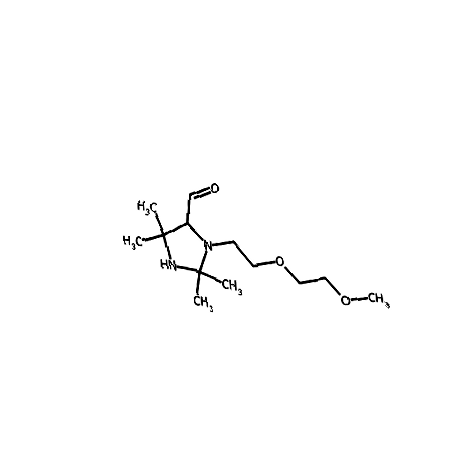 COCCOCCN1C(C=O)C(C)(C)NC1(C)C